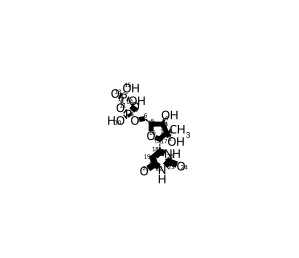 C[C@@]1(O)[C@H](O)[C@@H](COP(=O)(O)OP(=O)(O)O)O[C@H]1c1cc(=O)[nH]c(=O)[nH]1